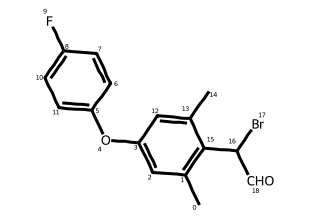 Cc1cc(Oc2ccc(F)cc2)cc(C)c1C(Br)C=O